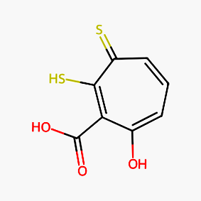 O=C(O)c1c(O)cccc(=S)c1S